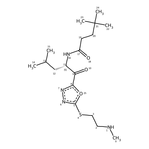 CNCCSc1nnc(C(=O)[C@H](CC(C)C)NC(=O)CCC(C)(C)C)o1